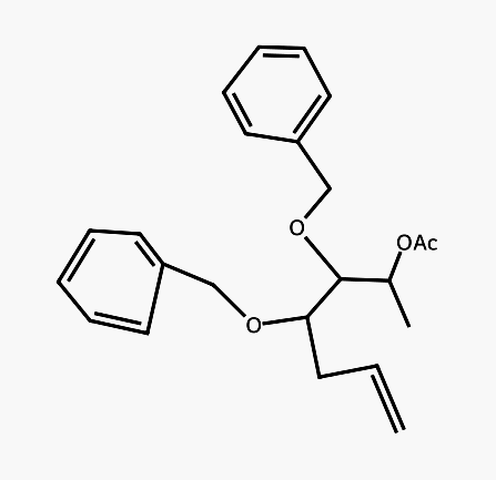 C=CCC(OCc1ccccc1)C(OCc1ccccc1)C(C)OC(C)=O